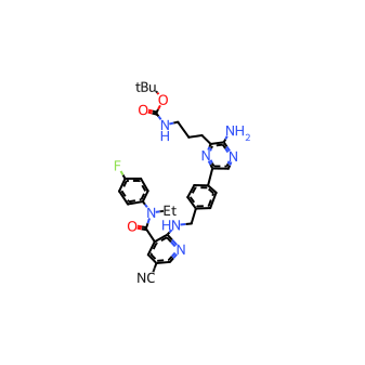 CCN(C(=O)c1cc(C#N)cnc1NCc1ccc(-c2cnc(N)c(CCCNC(=O)OC(C)(C)C)n2)cc1)c1ccc(F)cc1